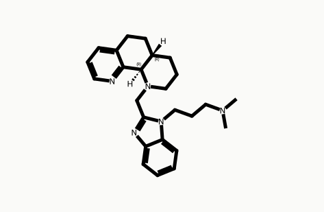 CN(C)CCCn1c(CN2CCC[C@H]3CCc4cccnc4[C@@H]32)nc2ccccc21